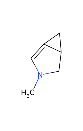 CN1C=C2CC2C1